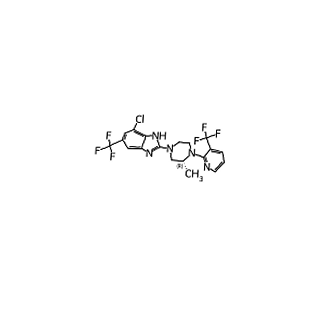 C[C@@H]1CN(c2nc3cc(C(F)(F)F)cc(Cl)c3[nH]2)CCN1c1ncccc1C(F)(F)F